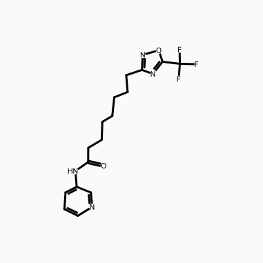 O=C(CCCCCCCc1noc(C(F)(F)F)n1)Nc1cccnc1